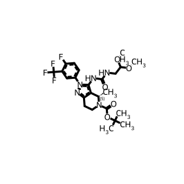 COC(CNC(=O)Nc1c2c(nn1-c1ccc(F)c(C(F)(F)F)c1)CCN(C(=O)OC(C)(C)C)[C@H]2C)OC